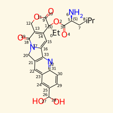 CC[C@@]1(OC(=O)[C@@H](N)CC(C)C)C(=O)OCc2c1cc1n(c2=O)Cc2cc3cc(C(O)O)ccc3nc2-1